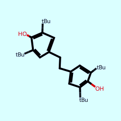 CC(C)(C)c1cc(CCc2cc(C(C)(C)C)c(O)c(C(C)(C)C)c2)cc(C(C)(C)C)c1O